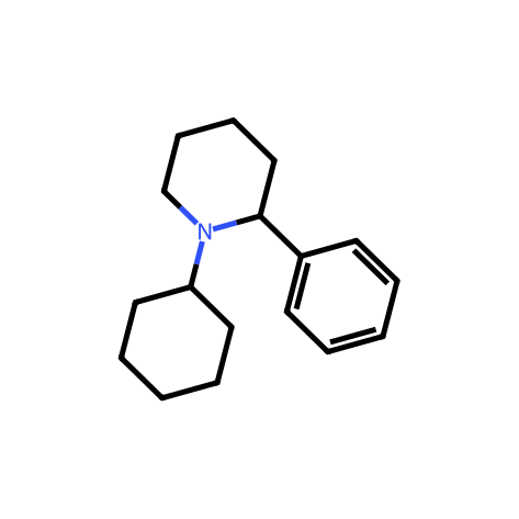 c1ccc(C2CCCCN2C2CCCCC2)cc1